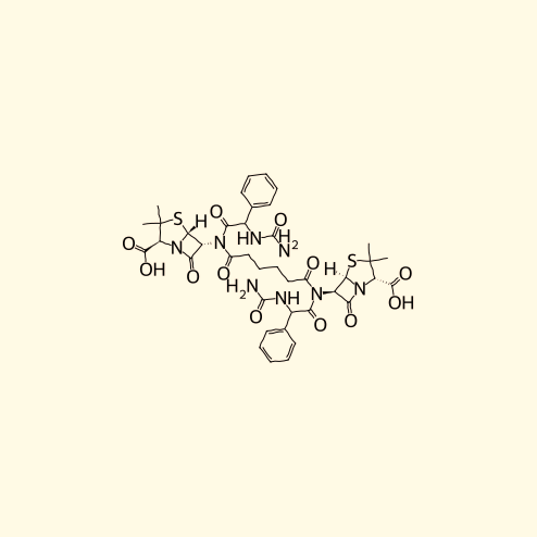 CC1(C)S[C@@H]2[C@H](N(C(=O)CCCCC(=O)N(C(=O)C(NC(N)=O)c3ccccc3)[C@@H]3C(=O)N4[C@@H]3SC(C)(C)[C@@H]4C(=O)O)C(=O)C(NC(N)=O)c3ccccc3)C(=O)N2[C@H]1C(=O)O